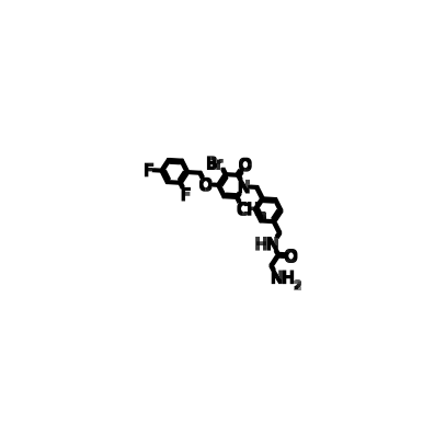 Cc1cc(OCc2ccc(F)cc2F)c(Br)c(=O)n1Cc1ccc(CNC(=O)CN)cc1